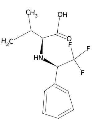 CC(C)[C@H](N[C@H](c1ccccc1)C(F)(F)F)C(=O)O